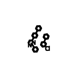 Clc1cccc(-c2ccccc2)c1.c1ccc(-c2ccc(-c3ccnc(-c4ccccc4)n3)cc2)cc1